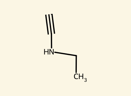 [C]#CNCC